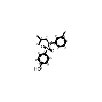 Cc1cccc(N(CC(C)C)S(=O)(=O)c2ccc(O)cc2)c1